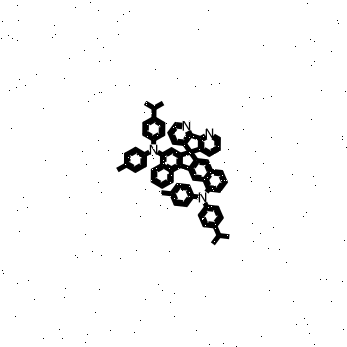 Cc1ccc(N(c2ccc(C(C)C)cc2)c2cccc3cc4c(cc23)-c2c(cc(N(c3ccc(C)cc3)c3ccc(C(C)C)cc3)c3ccccc23)C42c3cccnc3-c3ncccc32)cc1